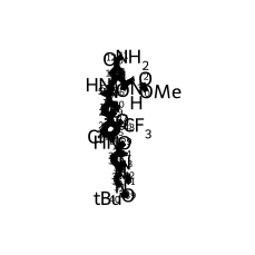 COC(=O)NCC(=O)N1CC(C(N)=O)CC1c1nc(-c2ccc(-c3cc(Cl)c(NC(=O)c4ccc(N5CCN(C(=O)C(C)(C)C)CC5)nc4)cc3OC(F)(F)F)cc2)c[nH]1